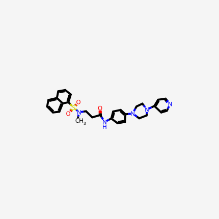 CN(CCC(=O)Nc1ccc(N2CCN(c3ccncc3)CC2)cc1)S(=O)(=O)c1cccc2ccccc12